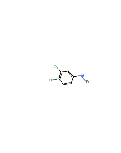 CC(C)Nc1ccc(Cl)c(Cl)c1